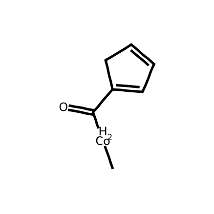 [CH3][CoH2][C](=O)C1=CC=CC1